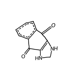 O=C1C2=C(NCN2)C(=O)c2ccccc21